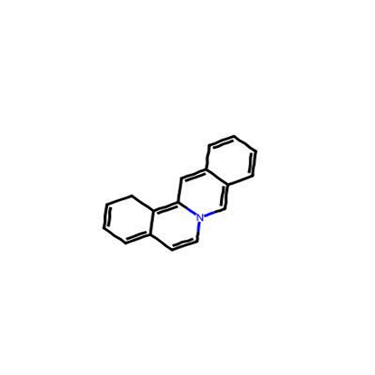 C1=CCC2=C3C=c4ccccc4=CN3C=CC2=C1